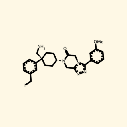 COc1cccc(-c2nnc3n2CC(=O)N([C@H]2CC[C@@](CN)(c4cccc(CI)c4)CC2)C3)c1